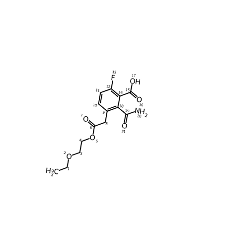 CCOCCOC(=O)Cc1ccc(F)c(C(=O)O)c1C(N)=O